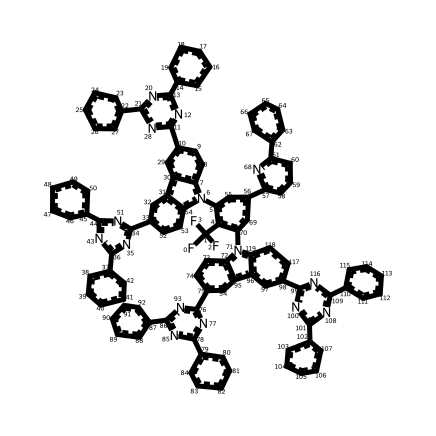 FC(F)(F)c1c(-n2c3ccc(-c4nc(-c5ccccc5)nc(-c5ccccc5)n4)cc3c3cc(-c4nc(-c5ccccc5)nc(-c5ccccc5)n4)ccc32)cc(-c2cccc(-c3ccccc3)n2)cc1-n1c2ccc(-c3nc(-c4ccccc4)nc(-c4ccccc4)n3)cc2c2cc(-c3nc(-c4ccccc4)nc(-c4ccccc4)n3)ccc21